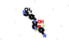 Cc1cc(-c2ccc(CN3Cc4ccnc(Oc5c(F)cc(C#N)cc5F)c4C3O)cc2)ccn1